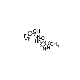 COc1ncnc2sc(NC(=O)N3CCC(O)(c4cccc(C(F)(F)F)c4)CC3)nc12